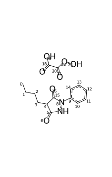 CCCCC1C(=O)NN(c2ccccc2)C1=O.O=C(O)C(=O)OO